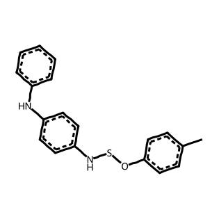 Cc1ccc(OSNc2ccc(Nc3ccccc3)cc2)cc1